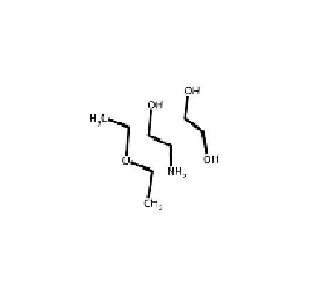 CCOCC.NCCO.OCCO